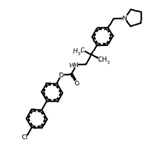 CC(C)(CNC(=O)Oc1ccc(-c2ccc(Cl)cc2)cc1)c1ccc(CN2CCCC2)cc1